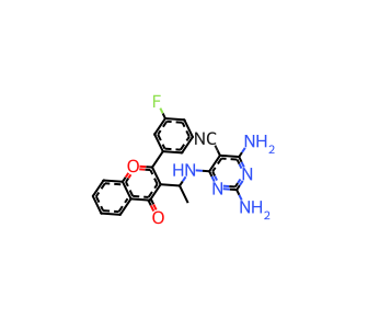 CC(Nc1nc(N)nc(N)c1C#N)c1c(-c2cccc(F)c2)oc2ccccc2c1=O